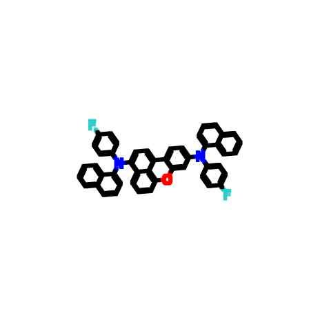 Fc1ccc(N(c2ccc3c(c2)Oc2cccc4c(N(c5ccc(F)cc5)c5cccc6ccccc56)ccc-3c24)c2cccc3ccccc23)cc1